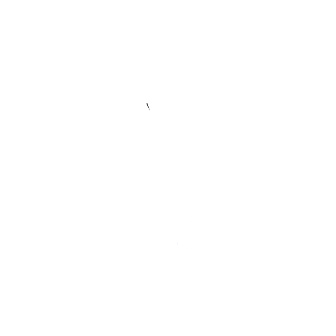 C=CCC[C@H]1CC[C@H](C2CCC(O/C=C/CC)CC2)CC1